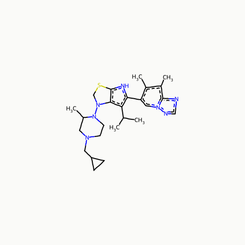 Cc1c(-c2[nH]c3c(c2C(C)C)N(N2CCN(CC4CC4)CC2C)CS3)cn2ncnc2c1C